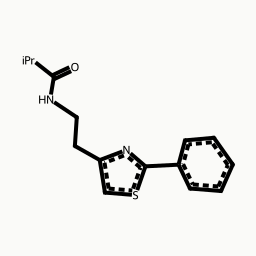 CC(C)C(=O)NCCc1csc(-c2ccccc2)n1